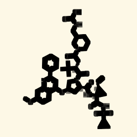 C=C[C@@H]1C[C@]1(NC(=O)[C@@H]1C[C@@H](Oc2cc(-c3ccccc3)nc3cc(OC)ccc23)CN1C(=O)[C@@H](CC(=O)N1CCCC(CNC(=O)O)C1)C(C)(C)C)C(=O)NS(=O)(=O)C1CC1